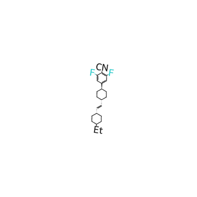 CC[C@H]1CC[C@H](/C=C/[C@H]2CC[C@H](c3cc(F)c(C#N)c(F)c3)CC2)CC1